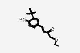 CCOCC(=O)CCc1ccc(O)c(C(C)(C)C)c1